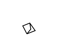 C1[C]2CC1C2